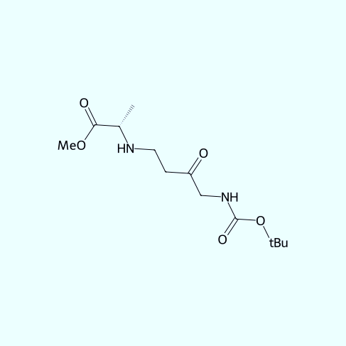 COC(=O)[C@H](C)NCCC(=O)CNC(=O)OC(C)(C)C